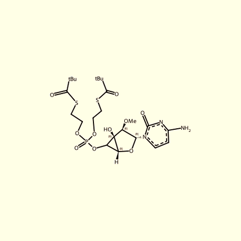 CO[C@H]1[C@H](n2ccc(N)nc2=O)O[C@@H]2C(OP(=O)(OCCSC(=O)C(C)(C)C)OCCSC(=O)C(C)(C)C)[C@@]21O